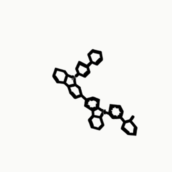 CC1C=CC=CC1c1cccc(N2c3ccc(C4C=CC5C6C=CCCC6N(C6C=CC(C7C=CC=CC7)=CC6)C5C4)cc3C3C=CCCC32)c1